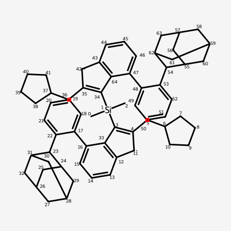 C[Si](C)(C1=C(CC2CCCC2)[CH]c2cccc(-c3ccccc3C3C4CC5CC(C4)CC3C5)c21)C1=C(CC2CCCC2)[CH]c2cccc(-c3ccccc3C3C4CC5CC(C4)CC3C5)c21